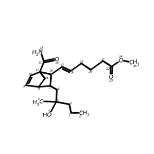 CCCC(C)(O)CC1C2C=CC(C(N)=O)(C2)C1C=CCCCC(=O)OC